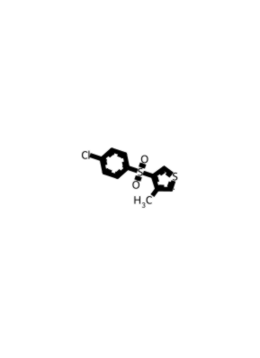 Cc1[c]scc1S(=O)(=O)c1ccc(Cl)cc1